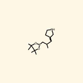 CC(C=C1CCNC1)CB1OC(C)(C)C(C)(C)O1